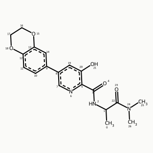 CC(NC(=O)c1ncc(-c2ccc3c(c2)OCCO3)cc1O)C(=O)N(C)C